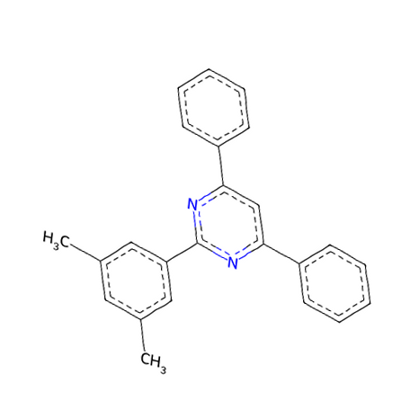 Cc1cc(C)cc(-c2nc(-c3ccccc3)cc(-c3ccccc3)n2)c1